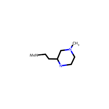 CNCCC1CN(C)CC[N]1